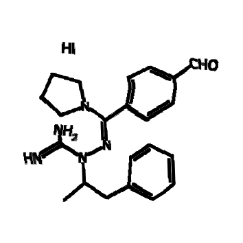 CC(Cc1ccccc1)N(N=C(c1ccc(C=O)cc1)N1CCCC1)C(=N)N.I